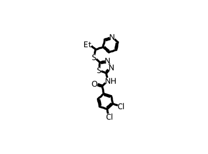 CCC(Sc1nnc(NC(=O)c2ccc(Cl)c(Cl)c2)s1)c1cccnc1